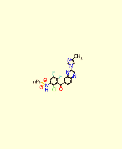 CCCS(=O)(=O)Nc1cc(F)c(F)c(C(=O)c2ccc3ncc(-n4cnc(C)c4)nc3c2)c1Cl